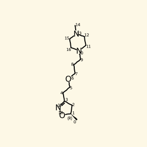 C[C@@H]1CC(CCOCCCN2CCN(C)CC2)=NO1